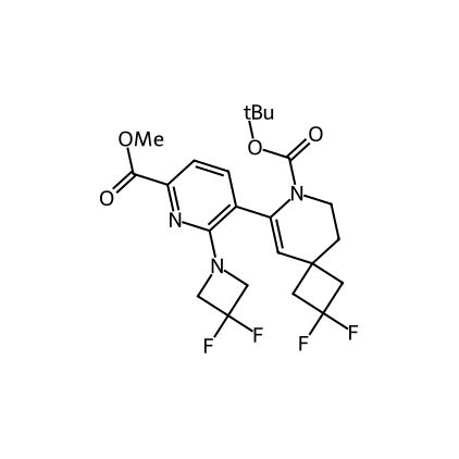 COC(=O)c1ccc(C2=CC3(CCN2C(=O)OC(C)(C)C)CC(F)(F)C3)c(N2CC(F)(F)C2)n1